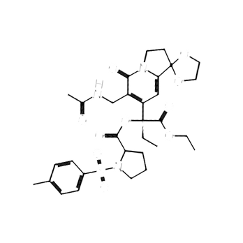 CCOC(=O)[C@](CC)(OC(=O)C1CCCN1S(=O)(=O)c1ccc(C)cc1)c1cc2n(c(=O)c1CNC(C)=O)CCC21OCCO1